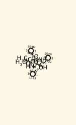 CC(C)(C)OC(=O)N[C@@H](Cc1ccccc1)C[C@H](O)[C@H](Cc1ccccc1)NC(=O)OCc1ccccc1